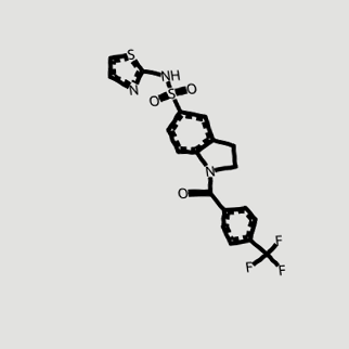 O=C(c1ccc(C(F)(F)F)cc1)N1CCc2cc(S(=O)(=O)Nc3nccs3)ccc21